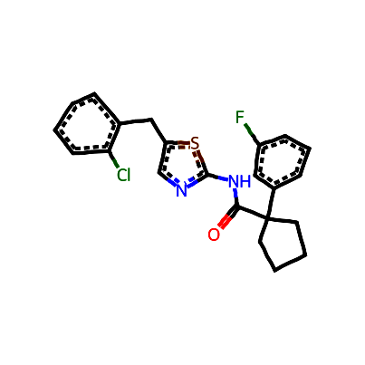 O=C(Nc1ncc(Cc2ccccc2Cl)s1)C1(c2cccc(F)c2)CCCC1